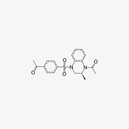 CC(=O)c1ccc(S(=O)(=O)N2C[C@H](C)N(C(C)=O)c3ccccc32)cc1